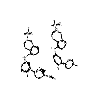 Cc1ccc(Nc2cccc3c2CCN(S(C)(=O)=O)C3)cc1-c1ccc(C#N)cn1.Cc1ccc(Nc2cccc3c2CCN(S(C)(=O)=O)C3)cc1-c1ccc(F)cn1